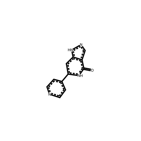 O=c1[nH]c(-c2ccncc2)cc2[nH]ncc12